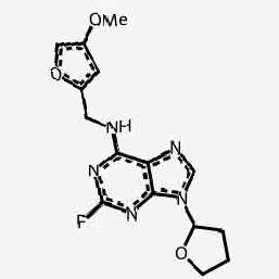 COc1coc(CNc2nc(F)nc3c2ncn3C2CCCO2)c1